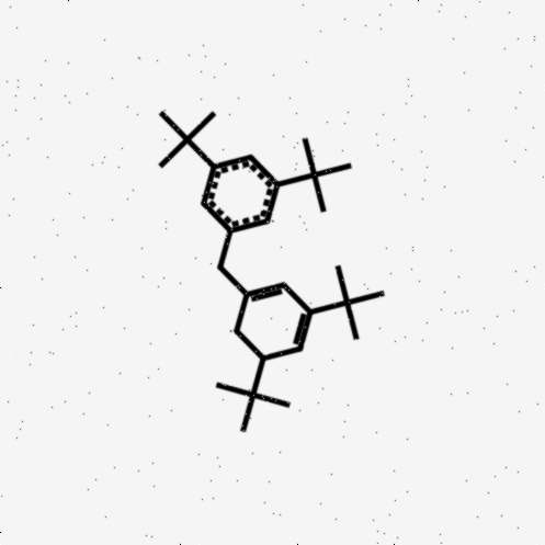 CC(C)(C)C1=CC(C(C)(C)C)[CH]C(Cc2[c]c(C(C)(C)C)cc(C(C)(C)C)c2)=C1